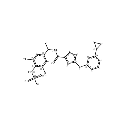 CC(NC(=O)c1coc(Oc2cccc(C3CC3)c2)n1)c1cc(F)c(NS(C)(=O)=O)c(F)c1